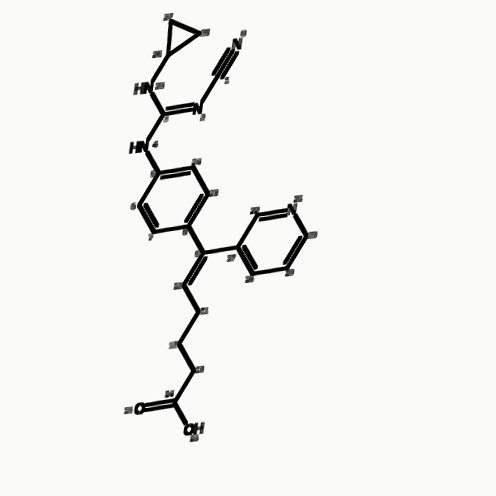 N#CN=C(Nc1ccc(C(=CCCCC(=O)O)c2cccnc2)cc1)NC1CC1